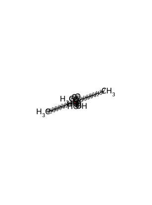 CC1COC(=O)O1.CCCCCCCCC=CCCCCCCCCOCCCCCCCCC=CCCCCCCCC.O=P(O)(O)O